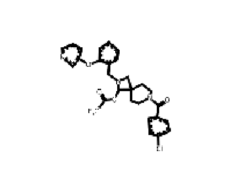 O=C(c1ccc(Cl)cc1)N1CCC2(CC1)CN(Cc1ccccc1Oc1cccnc1)C2OC(=O)C(F)(F)F